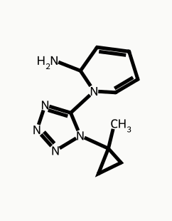 CC1(n2nnnc2N2C=CC=CC2N)CC1